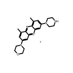 Cc1cc(N2CCNCC2)cc2[s+]c3cc(N4CCOCC4)cc(C)c3nc12.[I-]